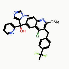 COc1nc2ccc(C(O)(c3ccccn3)c3cncn3C)cc2c(Cl)c1Cc1ccc(C(C)(F)F)cc1